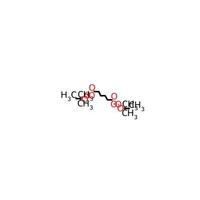 CCC(C)(C)OOOC(=O)CCCCC(=O)OOOC(C)(C)CC